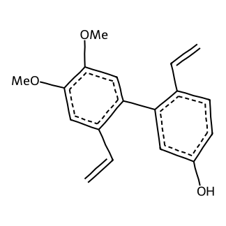 C=Cc1ccc(O)cc1-c1cc(OC)c(OC)cc1C=C